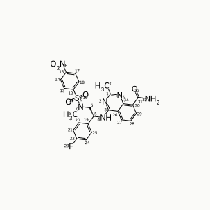 Cc1nc(N[C@H](CN(C)S(=O)(=O)c2ccc([N+](=O)[O-])cc2)c2ccc(F)cc2)c2cccc(C(N)=O)c2n1